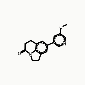 COc1cncc(-c2cc3c4c(c2)CCN4C(=O)CC3)c1